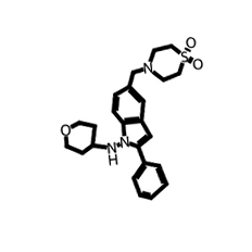 O=S1(=O)CCN(Cc2ccc3c(c2)cc(-c2ccccc2)n3NC2CCOCC2)CC1